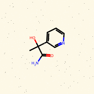 CC(O)(C(N)=O)c1cccnc1